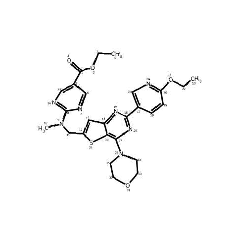 CCOC(=O)c1cnc(N(C)Cc2cc3nc(-c4ccc(OCC)nc4)nc(N4CCOCC4)c3s2)nc1